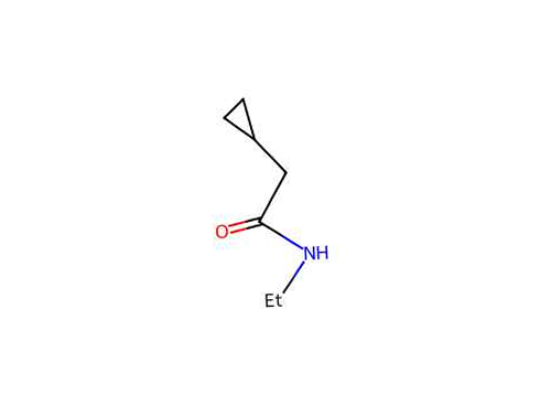 [CH2]CNC(=O)CC1CC1